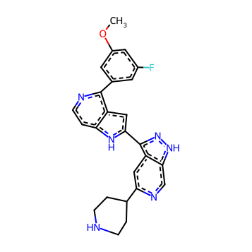 COc1cc(F)cc(-c2nccc3[nH]c(-c4n[nH]c5cnc(C6CCNCC6)cc45)cc23)c1